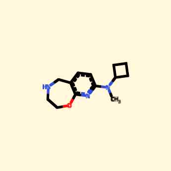 CN(c1ccc2c(n1)OCCNC2)C1CCC1